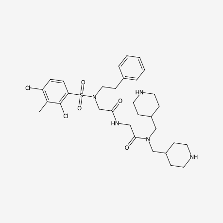 Cc1c(Cl)ccc(S(=O)(=O)N(CCc2ccccc2)CC(=O)NCC(=O)N(CC2CCNCC2)CC2CCNCC2)c1Cl